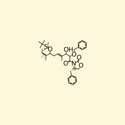 C/C=C(/C)C(C/C=C(\C)C(O)C(OCc1ccccc1)C(=O)N1C(=O)OC[C@@H]1Cc1ccccc1)O[Si](C)(C)C(C)(C)C